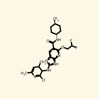 CC1=CC(C)C(Nc2nc3cc(C(=O)N[C@H]4CC[C@H](C(F)(F)F)CC4)c(OCC(F)F)nc3[nH]2)C(Cl)=N1